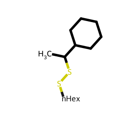 CCCCCCSSC(C)C1CCCCC1